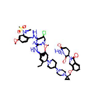 CCc1cc(Nc2ncc(Cl)c(Nc3ccc(OC)cc3N(C)S(C)(=O)=O)n2)c(OC)cc1N1CCC(N2CCN(C3(COc4cccc5c4CN(C4CCC(=O)NC4=O)C5=O)CC3)CC2)CC1